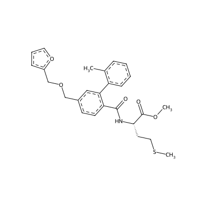 COC(=O)[C@H](CCSC)NC(=O)c1ccc(COCc2ccco2)cc1-c1ccccc1C